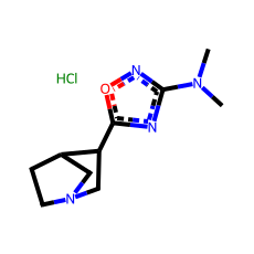 CN(C)c1noc(C2CN3CCC2C3)n1.Cl